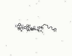 CC/C=C\C/C=C\C/C=C\C/C=C\C/C=C\C/C=C\CCC(=O)NCCN(C)CCNC(=O)c1cc(C2CC(O)(c3ccc(OCc4c(-c5c(Cl)cccc5Cl)noc4C4CC4)cc3Cl)C2)n(C(C)C)n1